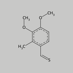 COc1ccc(C=S)c(C)c1OC